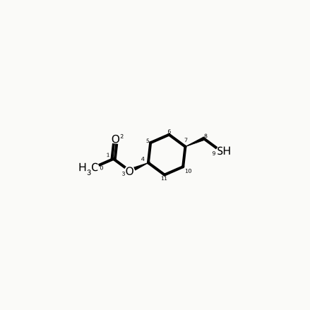 CC(=O)O[C@H]1CC[C@@H](CS)CC1